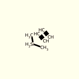 C#C.C#C.C[SiH2]C